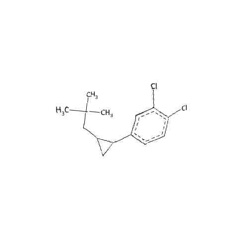 CC(C)(C)CC1CC1c1ccc(Cl)c(Cl)c1